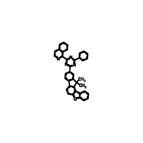 CC1(C)c2cc(-c3nc(-c4ccccc4)nc(-c4nccc5ccccc45)n3)ccc2-c2ccc3oc4ccccc4c3c21